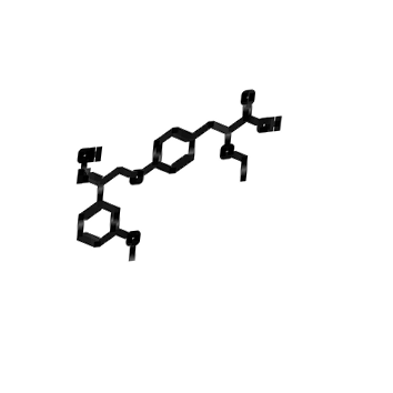 CCOC(Cc1ccc(OC/C(=N\O)c2cccc(OC)c2)cc1)C(=O)O